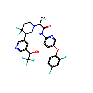 C[C@@H](C(=O)Nc1ccc(Oc2ccc(F)cc2F)cn1)N1CCC(F)(F)C(c2cncc(C(O)C(F)(F)F)c2)C1